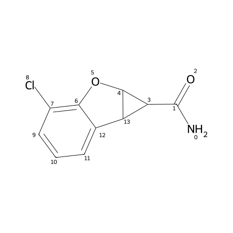 NC(=O)C1C2Oc3c(Cl)cccc3C21